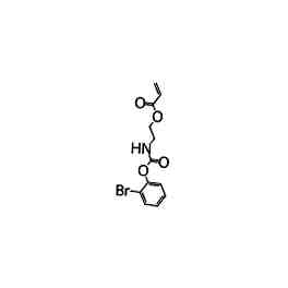 C=CC(=O)OCCNC(=O)Oc1ccccc1Br